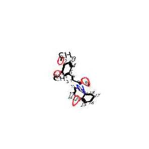 COc1ccc(C=CC(=O)N2CCOc3ccccc32)cc1OC